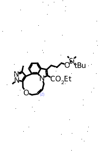 CCOC(=O)c1c(CCCO[Si](C)(C)C(C)(C)C)c2cccc3c2n1C/C=C\COCc1c-3c(C)nn1C